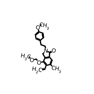 C=Cc1c(C)cc2c(c1OCOC)CN(CCc1ccc(OC)cc1)C2=O